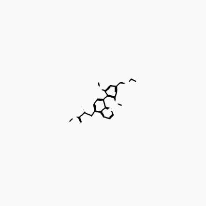 CCOCc1cc(OC)c(-c2ccc(C[C@H](N)C(=O)OC)c3cccnc23)c(OC)c1